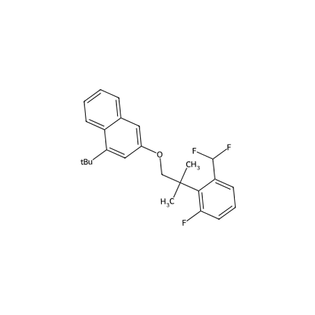 CC(C)(C)c1cc(OCC(C)(C)c2c(F)cccc2C(F)F)cc2ccccc12